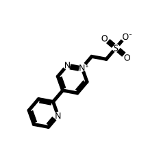 O=S(=O)([O-])CC[n+]1ccc(-c2ccccn2)cn1